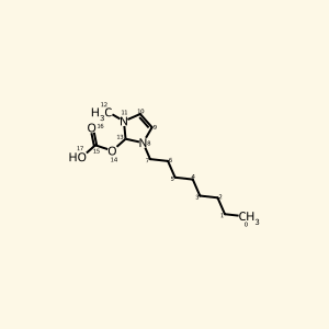 CCCCCCCCN1C=CN(C)C1OC(=O)O